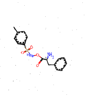 Cc1ccc(S(=O)(=O)NOC(=O)[C@@H](N)Cc2ccccc2)cc1